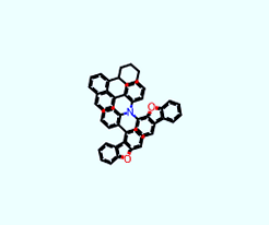 c1ccc(N(c2ccccc2-c2cccc3oc4ccccc4c23)c2cccc3c2oc2ccccc23)c(-c2cccc3cccc(C4CCCCC4)c23)c1